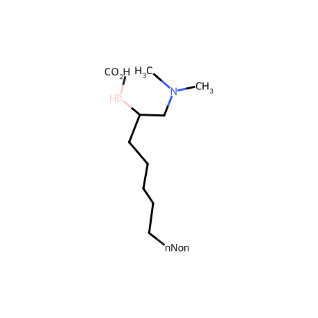 CCCCCCCCCCCCCCC(BC(=O)O)CN(C)C